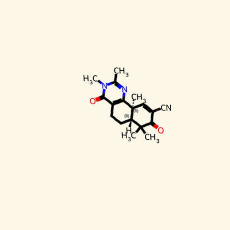 Cc1nc2c(c(=O)n1C)CC[C@H]1C(C)(C)C(=O)C(C#N)=C[C@]21C